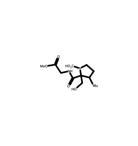 COC(=O)CNC(=O)C1(CO)C(C(C)(C)C)CCN1C(=O)O